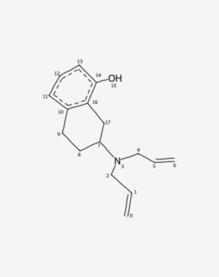 C=CCN(CC=C)C1CCc2cccc(O)c2C1